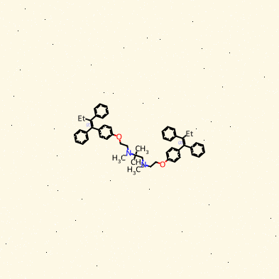 CC/C(=C(\c1ccccc1)c1ccc(OCCN(C)CC(C)(C)N(C)CCOc2ccc(/C(=C(/CC)c3ccccc3)c3ccccc3)cc2)cc1)c1ccccc1